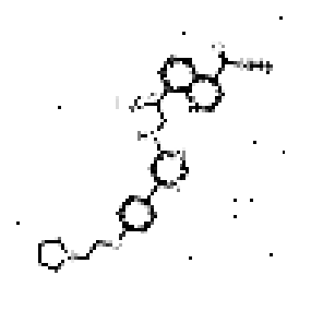 CNC(=O)c1ccnc2c([C@H](C)CNc3cc(-c4ccc(OCCN5CCCC5)cc4)ncn3)cccc12